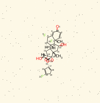 C[C@]12C=CC(=O)C=C1[C@@H](F)C[C@H]1[C@@H]3C[C@H]4O[C@@H](C5=CCC(F)=C5)O[C@@]4(C(=O)CO)[C@@]3(C)C[C@H](O)[C@@]12F